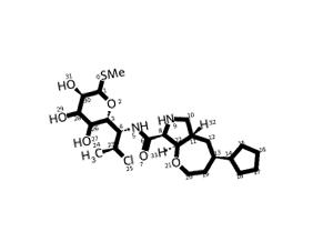 CSC1O[C@H]([C@H](NC(=O)[C@H]2NC[C@@H]3C[C@@H](C4CCCC4)CCO[C@H]32)[C@H](C)Cl)C(O)C(O)[C@H]1O